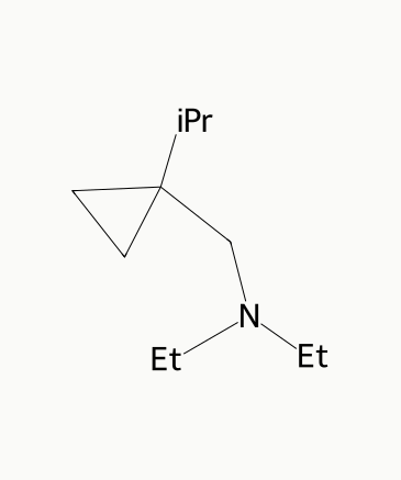 CCN(CC)CC1(C(C)C)CC1